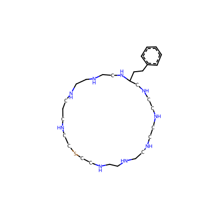 c1ccc(CCC2CNCCNCCNCCNCCNCCSCCNCCCNCCNCCN2)cc1